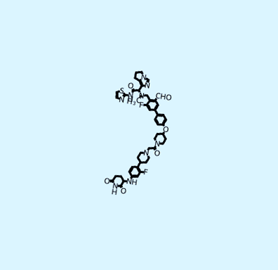 CN(Cc1c(F)cc(-c2ccc(OC3CCN(C(=O)CN4CCC(c5ccc(NC6CCC(=O)NC6=O)cc5F)CC4)CC3)cc2)cc1C=O)C(C(=O)Nc1nccs1)c1ncn2c1CCC2